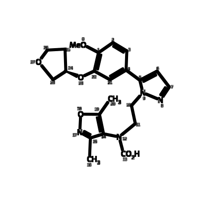 COc1ccc(-c2ccnn2CCN(C(=O)O)c2c(C)noc2C)cc1O[C@@H]1CCOC1